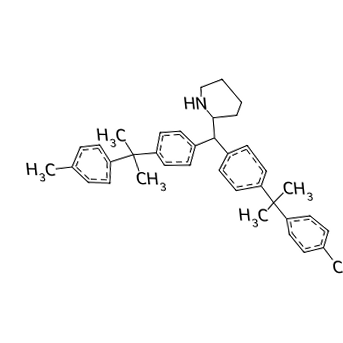 Cc1ccc(C(C)(C)c2ccc(C(c3ccc(C(C)(C)c4ccc(C)cc4)cc3)C3CCCCN3)cc2)cc1